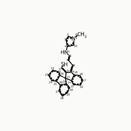 Cn1ccc(N/C=C/C=C2\C(=C/S)C3(c4ccccc42)c2ccccc2-c2ccccc23)c1